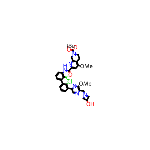 COc1cc(C(=O)Nc2cccc(-c3cccc(-c4cnc(CN5CC(O)C5)c(OC)n4)c3Cl)c2Cl)nc2c1CCN(C(=O)OC(C)(C)C)C2